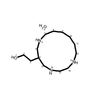 O.OCCC1CNCCCCCCNCCNC1